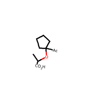 CC(=O)C1(OC(C)C(=O)O)CCCC1